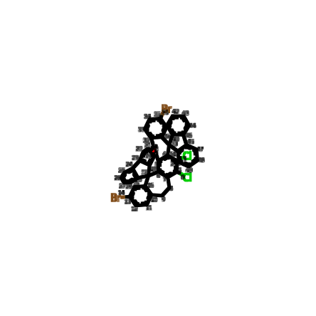 Clc1c(Cl)c2c(c3c1CCc1ccc(Br)cc1C31c3ccccc3-c3ccccc31)CCc1ccc(Br)cc1C21c2ccccc2-c2ccccc21